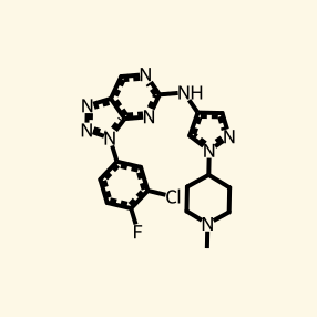 CN1CCC(n2cc(Nc3ncc4nnn(-c5ccc(F)c(Cl)c5)c4n3)cn2)CC1